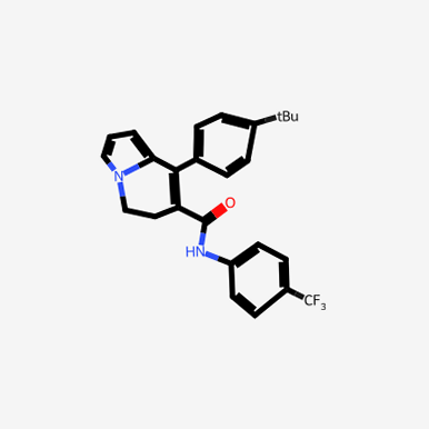 CC(C)(C)c1ccc(C2=C(C(=O)Nc3ccc(C(F)(F)F)cc3)CCn3cccc32)cc1